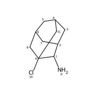 NC1C2CC3CC(C2)CC1(Cl)C3